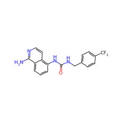 Nc1nccc2c(NC(=O)NCc3ccc(C(F)(F)F)cc3)cccc12